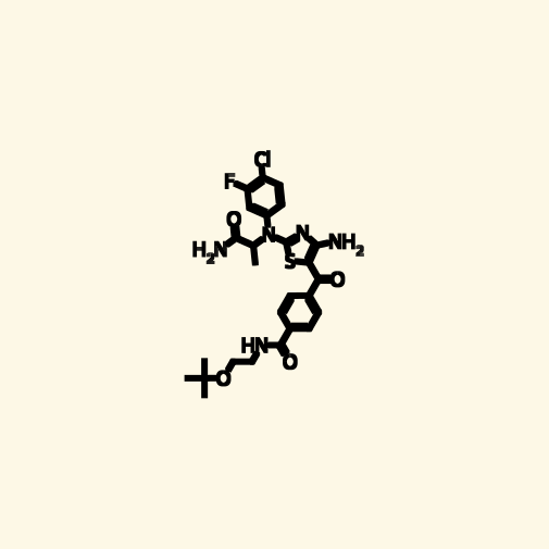 CC(C(N)=O)N(c1ccc(Cl)c(F)c1)c1nc(N)c(C(=O)c2ccc(C(=O)NCCOC(C)(C)C)cc2)s1